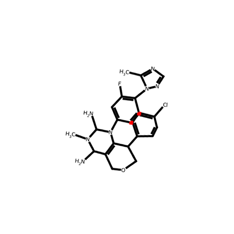 Cc1ncnn1-c1ccc(N2C3=C(COCC3c3ccc(Cl)cc3)C(N)N(C)C2N)cc1F